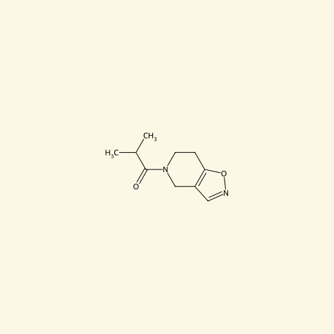 CC(C)C(=O)N1CCc2oncc2C1